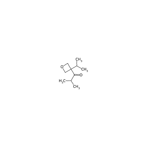 CC(C)C(=O)C1(C(C)C)COC1